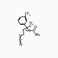 CC(CCN=[N+]=[N-])(N[S+]([O-])C(C)(C)C)c1cccc(C(F)(F)F)c1